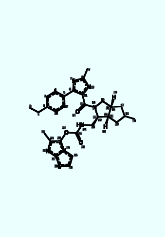 CCc1ccc(-c2sc(C)nc2C(=O)N2C[C@@H]3CC(C)C[C@@H]3[C@H]2CNC(=O)Oc2c(C)nc3sccn23)cc1